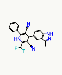 Cc1n[nH]c2ccc(C3C(C#N)=C(c4ccccc4)NC(C(F)F)=C3C#N)cc12